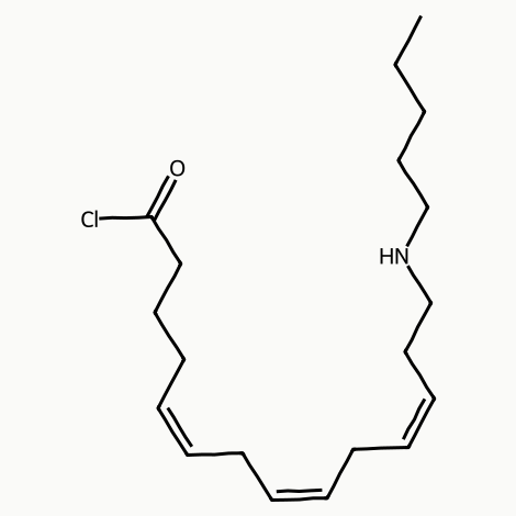 CCCCCNCC/C=C\C/C=C\C/C=C\CCCC(=O)Cl